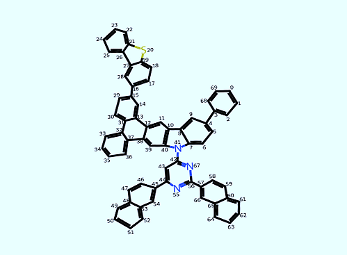 c1ccc(-c2ccc3c(c2)c2cc4c5cc(-c6ccc7sc8ccccc8c7c6)ccc5c5ccccc5c4cc2n3-c2cc(-c3ccc4ccccc4c3)nc(-c3ccc4ccccc4c3)n2)cc1